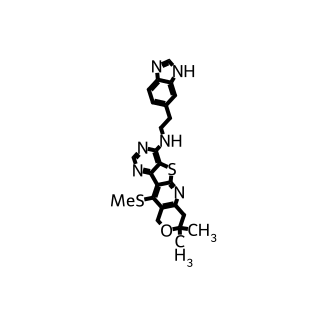 CSc1c2c(nc3sc4c(NCCc5ccc6nc[nH]c6c5)ncnc4c13)CC(C)(C)OC2